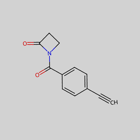 C#Cc1ccc(C(=O)N2CCC2=O)cc1